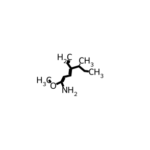 C=C/C(=C\C=C(/N)OC)[C@H](C)CC